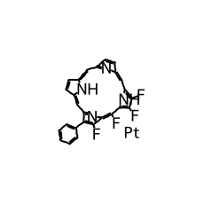 FC1=C(c2ccccc2)c2cc3ccc(cc4nc(cc5[nH]c(c(F)c1n2)c(F)c5F)C=C4)[nH]3.[Pt]